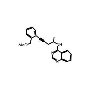 COCc1ccccc1C#CCC(C)Nc1ncnc2ccccc12